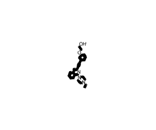 CCN1CCN(c2nc(C#Cc3cccc(OCCO)c3)cc3ccccc23)CC1